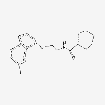 O=C(NCCCc1cccc2ccc(I)cc12)C1CCCCC1